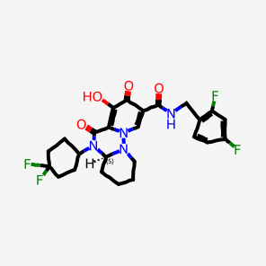 O=C(NCc1ccc(F)cc1F)c1cn2c(c(O)c1=O)C(=O)N(C1CCC(F)(F)CC1)[C@@H]1CCCCN12